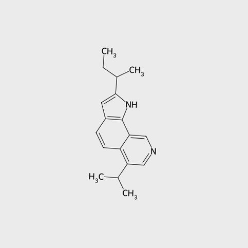 CCC(C)c1cc2ccc3c(C(C)C)cncc3c2[nH]1